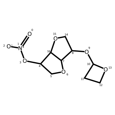 O=[N+]([O-])OC1COC2C(OC3CCO3)COC12